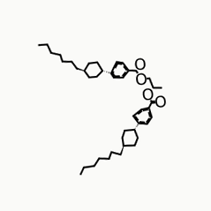 CCCCCCC[C@H]1CC[C@H](c2ccc(C(=O)OCC(C)OC(=O)c3ccc([C@H]4CC[C@H](CCCCCCC)CC4)cc3)cc2)CC1